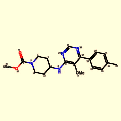 COc1c(NC2CCN(C(=O)OC(C)(C)C)CC2)ncnc1-c1ccc(C)cc1